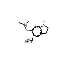 CN(C)Cc1ccc2c(c1)NCC2.Cl.Cl